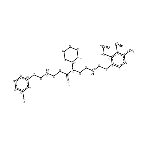 CNc1c(O)ccc(CCNCCN(C(=O)CCNCCc2cccc(F)c2)C2CCCCC2)c1SC=O